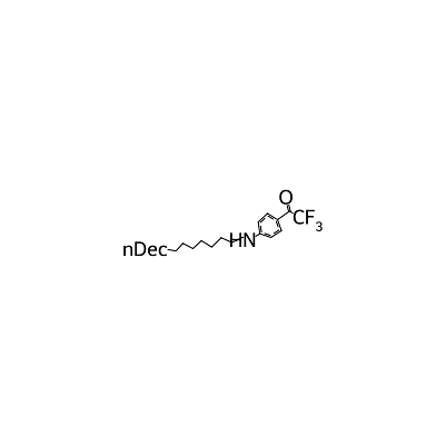 CCCCCCCCCCCCCCCCCCNc1ccc(C(=O)C(F)(F)F)cc1